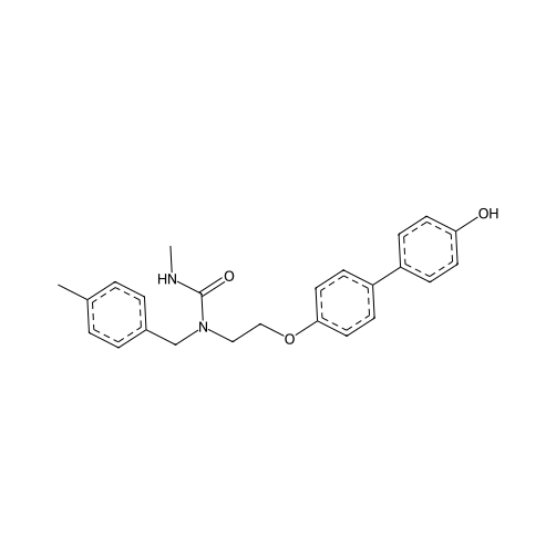 CNC(=O)N(CCOc1ccc(-c2ccc(O)cc2)cc1)Cc1ccc(C)cc1